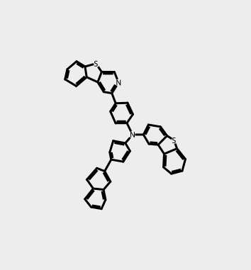 c1ccc2cc(-c3ccc(N(c4ccc(-c5cc6c(cn5)sc5ccccc56)cc4)c4ccc5sc6ccccc6c5c4)cc3)ccc2c1